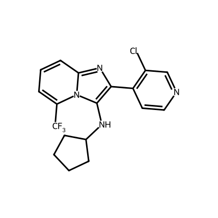 FC(F)(F)c1cccc2nc(-c3ccncc3Cl)c(NC3CCCC3)n12